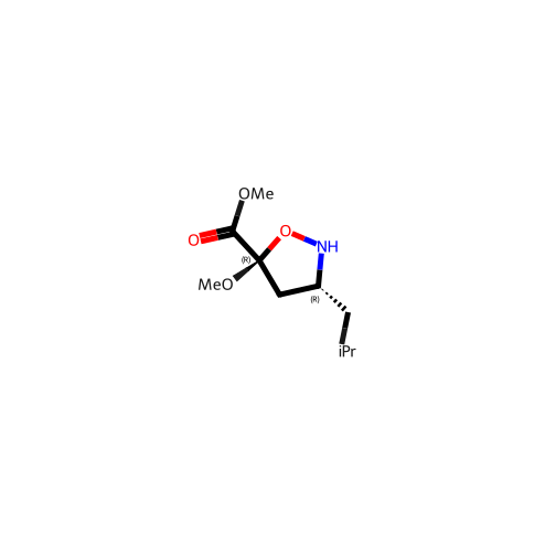 COC(=O)[C@@]1(OC)C[C@@H](CC(C)C)NO1